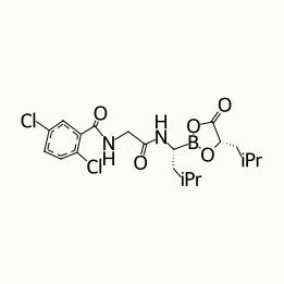 CC(C)C[C@H](NC(=O)CNC(=O)c1cc(Cl)ccc1Cl)B1OC(=O)[C@H](CC(C)C)O1